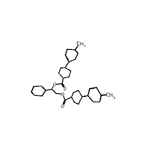 CC1CCC(C2CCC(C(=O)OCC(OC(=O)C3CCC(C4CCC(C)CC4)CC3)C3CCCCC3)CC2)CC1